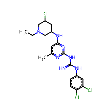 CCN1CC(Cl)CC(Nc2cc(C)nc(NC(=N)Nc3ccc(Cl)c(Cl)c3)n2)C1